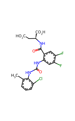 Cc1cccc(Cl)c1NC(=O)Nc1cc(F)c(F)cc1C(=O)N[C@@H](CC(=O)O)C(=O)O